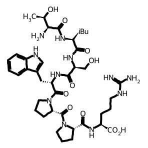 CC[C@H](C)[C@H](NC(=O)[C@@H](N)[C@@H](C)O)C(=O)N[C@@H](CO)C(=O)N[C@@H](Cc1c[nH]c2ccccc12)C(=O)N1CCC[C@H]1C(=O)N1CCC[C@H]1C(=O)N[C@@H](CCCNC(=N)N)C(=O)O